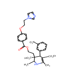 CCOC(=O)C1=C(C)NC(C)C(CCOC(=O)c2ccc(OCCn3ccnc3)cc2)(C(=O)O)C1c1cccc([N+](=O)[O-])c1